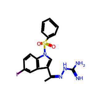 C/C(=N/NC(=N)N)c1cn(S(=O)(=O)c2ccccc2)c2ccc(I)cc12